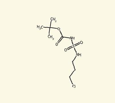 CC(C)(C)OC(=O)NS(=O)(=O)NCCCCl